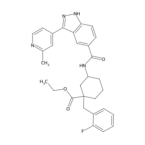 CCOC(=O)C1(Cc2ccccc2F)CCCC(NC(=O)c2ccc3[nH]nc(-c4ccnc(C)c4)c3c2)C1